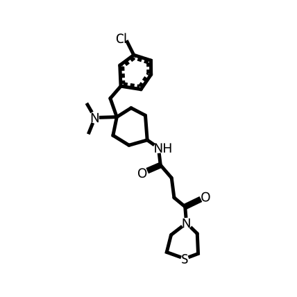 CN(C)C1(Cc2cccc(Cl)c2)CCC(NC(=O)CCC(=O)N2CCSCC2)CC1